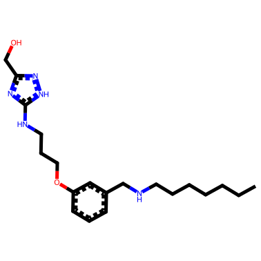 CCCCCCCNCc1cccc(OCCCNc2nc(CO)n[nH]2)c1